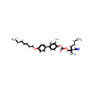 CCCCCCCOc1ccc(-c2ccc(OC(=O)OCC(C)(C#N)CCCC)c(F)c2F)cc1